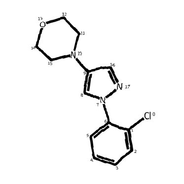 Clc1ccccc1-n1cc(N2CCOCC2)cn1